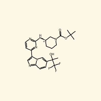 CC(C)(C)OC(=O)N1CCC[C@@H](Nc2nccc(-c3cnc4ccc(C(C)(O)C(F)(F)F)cn34)n2)C1